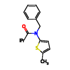 Cc1ccc(N(Cc2ccccc2)C(=O)C(C)C)s1